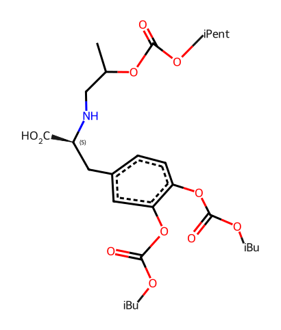 CCCC(C)OC(=O)OC(C)CN[C@@H](Cc1ccc(OC(=O)OC(C)CC)c(OC(=O)OC(C)CC)c1)C(=O)O